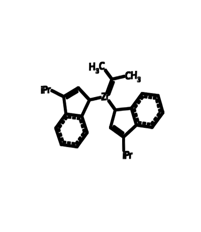 C[C](C)=[Zr]([CH]1C=C(C(C)C)c2ccccc21)[CH]1C=C(C(C)C)c2ccccc21